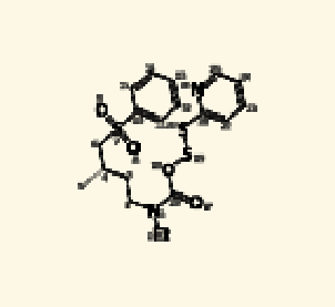 CCN(CC[C@H](C)CS(=O)(=O)c1ccccc1)C(=O)OSSc1ccccn1